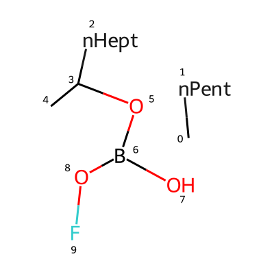 CCCCCC.CCCCCCCC(C)OB(O)OF